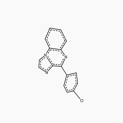 Clc1ccc(-c2nc3ccccc3n3ccnc23)cc1